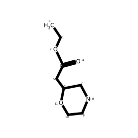 CCOC(=O)CC1C[N]CCO1